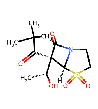 C[C@@H](O)[C@@]1(C(=O)C(C)(C)C)C(=O)N2CCS(=O)(=O)[C@H]21